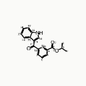 CC(C)OC(=O)c1cccc(C(=O)c2c[nH]c3ccccc23)n1